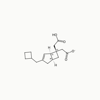 O=C(O)C[C@@]1(C[N+](=O)[O-])C[C@H]2CC(CC3CCC3)=C[C@H]21